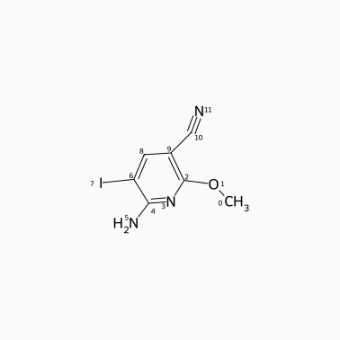 COc1nc(N)c(I)cc1C#N